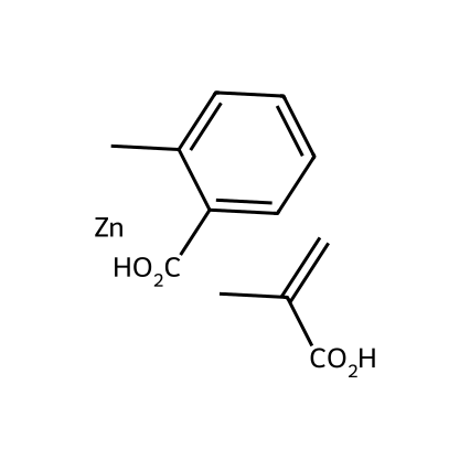 C=C(C)C(=O)O.Cc1ccccc1C(=O)O.[Zn]